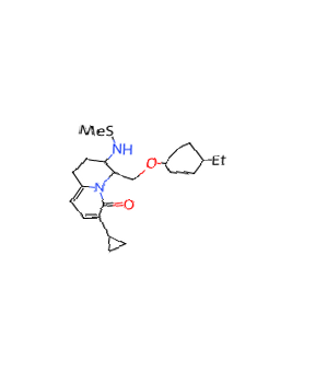 CCC1CCC(OCC2C(NSC)CCc3ccc(C4CC4)c(=O)n32)CC1